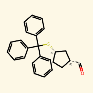 O=C[C@@H]1CC[C@H](SC(c2ccccc2)(c2ccccc2)c2ccccc2)C1